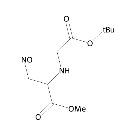 COC(=O)C(CN=O)NCC(=O)OC(C)(C)C